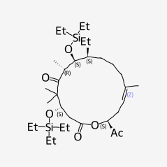 CC[Si](CC)(CC)O[C@H]1[C@@H](C)CCC/C(C)=C\C[C@@H](C(C)=O)OC(=O)C[C@H](O[Si](CC)(CC)CC)C(C)(C)C(=O)[C@@H]1C